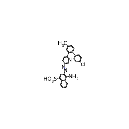 Cc1ccc(-c2ccc(Cl)cc2)c(-c2ccc(/N=N/c3cc(S(=O)(=O)O)c4ccccc4c3N)cn2)c1